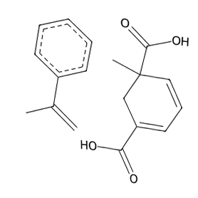 C=C(C)c1ccccc1.CC1(C(=O)O)C=CC=C(C(=O)O)C1